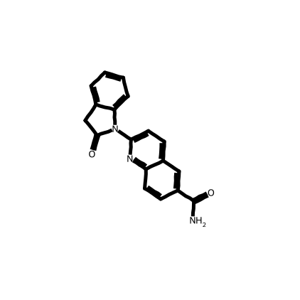 NC(=O)c1ccc2nc(N3C(=O)Cc4ccccc43)ccc2c1